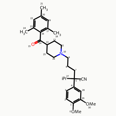 COc1ccc(C(C#N)(CCCN2CCC(C(=O)c3c(C)cc(C)cc3C)CC2)C(C)C)cc1OC